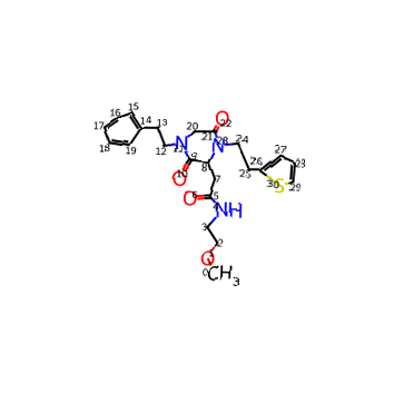 COCCNC(=O)CC1C(=O)N(CCc2ccccc2)CC(=O)N1CCc1cccs1